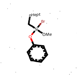 CCCCCCCC[Si](Br)(OC)Oc1ccccc1